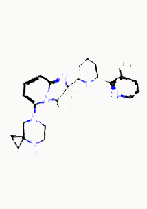 Cc1cccnc1[C@@H]1CCC[C@H]([C@]2(C)N=C3C=CC=C(N4CCNC5(CC5)C4)N3C2C)N1